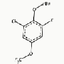 CCCCOc1c(Cl)cc(OC(F)(F)F)cc1Cl